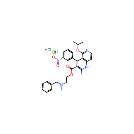 CC1=C(C(=O)OCCN(C)Cc2ccccc2)C(c2cccc([N+](=O)[O-])c2)c2c(ccnc2OC(C)C)N1.Cl.Cl